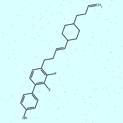 C=CCCC1CCC(/C=C/CCc2ccc(-c3ccc(CCC)cc3)c(F)c2F)CC1